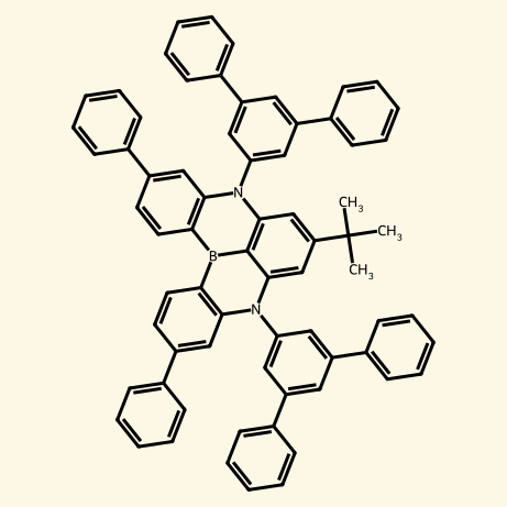 CC(C)(C)c1cc2c3c(c1)N(c1cc(-c4ccccc4)cc(-c4ccccc4)c1)c1cc(-c4ccccc4)ccc1B3c1ccc(-c3ccccc3)cc1N2c1cc(-c2ccccc2)cc(-c2ccccc2)c1